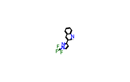 FC(F)(F)n1ccc(-c2[c]nc3ccccc3c2)n1